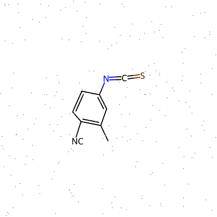 [C-]#[N+]c1ccc(N=C=S)cc1C